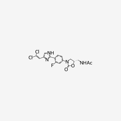 CC(=O)NC[C@H]1CN(c2ccc(-c3nc(C=C(Cl)Cl)c[nH]3)c(F)c2)C(=O)O1